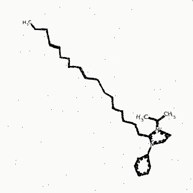 CCCCCCCCCCCCCCCCCCc1n(-c2ccccc2)cc[n+]1C(C)C